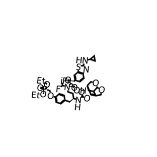 CCOP(=O)(COc1ccc(C[C@H](NC(=O)OC2=C3COC4OCC2CC34)[C@H](O)CN(C(F)C(C)C)S(=O)(=O)c2ccc3nc(NC4CC4)sc3c2)cc1)OCC